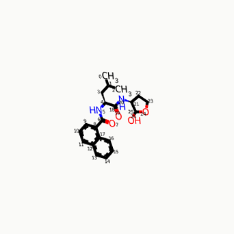 CC(C)C[C@H](NC(=O)c1cccc2ccccc12)C(=O)N[C@H]1CCOC1O